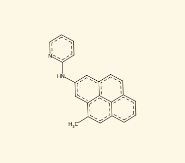 Cc1cc2cccc3ccc4cc(Nc5ccccn5)cc1c4c32